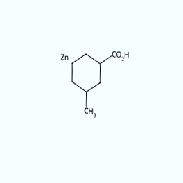 CC1CCCC(C(=O)O)C1.[Zn]